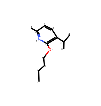 CCCCOc1nc(C)ccc1C(C)C